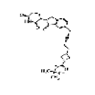 CC(C)(C)OC(=O)N1CC(CCC#CCc2ccc3c(c2)C(=O)N(C2CCC(=O)NC2=O)C3)C1